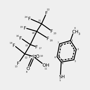 Cc1ccc(S)cc1.O=S(=O)(O)C(F)(F)C(F)(F)C(F)(F)C(F)(F)F